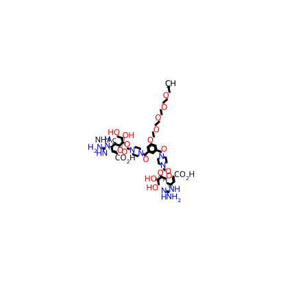 C#CCOCCOCCOCCOCCOc1cc(C(=O)N2CCN(C(=O)O[C@H]([C@H](O)CO)[C@H]3C[C@@H](NC(=N)N)C=C(C(=O)O)O3)CC2)cc(C(=O)N2CCN(C(=O)O[C@@H]([C@@H]3OC(C(=O)O)=C[C@H](NC(=N)N)[C@H]3NC(C)=O)[C@H](O)CO)CC2)c1